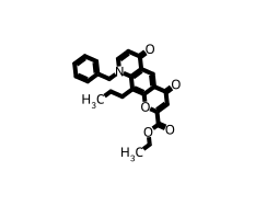 CCCc1c2oc(C(=O)OCC)cc(=O)c2cc2c(=O)ccn(Cc3ccccc3)c12